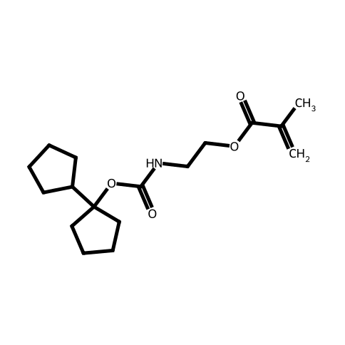 C=C(C)C(=O)OCCNC(=O)OC1(C2CCCC2)CCCC1